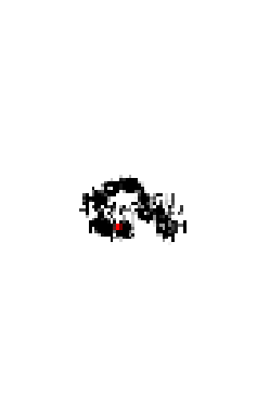 COc1ccc2c(c1N1CC(CN3CCN(C[C@H]4CC[C@H](n5cc(NC(=O)c6cnn7ccc(N8C[C@H]9C[C@@H]8CO9)nc67)c(C(F)F)n5)CC4)CC3)C1)n(C)c(=O)n2C1CCC(=O)NC1=O